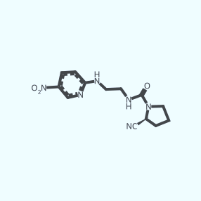 N#C[C@@H]1CCCN1C(=O)NCCNc1ccc([N+](=O)[O-])cn1